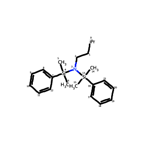 CC(C)CCN([Si](C)(C)c1ccccc1)[Si](C)(C)c1ccccc1